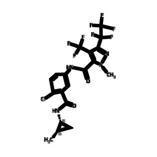 C[C@@H]1C[C@H]1NC(=O)c1cc(NC(=O)c2c(C(F)(F)F)c(C(F)(F)C(F)(F)F)nn2C)ccc1Cl